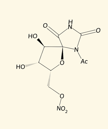 CC(=O)N1C(=O)NC(=O)[C@]12O[C@H](CO[N+](=O)[O-])[C@H](O)[C@H]2O